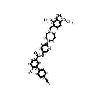 COc1ccc(CN2CCCN(c3ccc(NC(=O)c4ccc(C)c(-c5ccc(C#N)cc5)c4)cn3)CC2)c(C)c1C